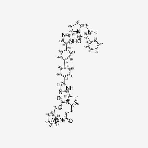 CNC(=O)CCC1SC[C@@H](c2ncc(-c3ccc(-c4ccc(-c5cnc([C@@H]6CCCN6C(=O)[C@@H](c6ccccc6)N(C)C)[nH]5)cc4)cc3)[nH]2)N1C(=O)OCc1ccccc1